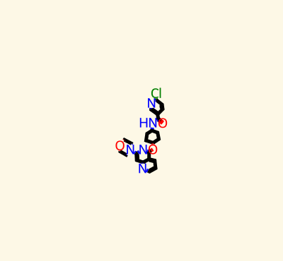 O=C(NC1CCC(Oc2nc(N3CCOCC3)cc3ncccc23)CC1)c1ccc(Cl)nc1